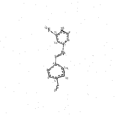 Fc1ccc(C=Nc2cccc(F)c2)cc1